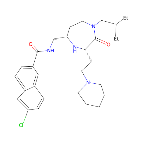 CCC(CC)CN1CC[C@@H](CNC(=O)c2ccc3cc(Cl)ccc3c2)N[C@@H](CCN2CCCCC2)C1=O